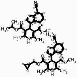 COC(=O)C1=C(C)NC(N)=C(C(=O)OC(C)C)C1c1csc2c(C#N)cccc12.COC(=O)C1=C(C)NC(N)=C(C(=O)OCC2CC2)C1c1csc2c(C#N)ccc(F)c12